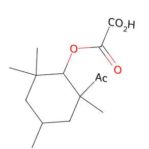 CC(=O)C1(C)CC(C)CC(C)(C)C1OC(=O)C(=O)O